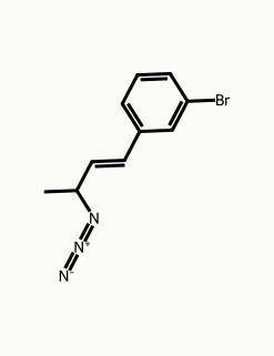 CC(/C=C/c1cccc(Br)c1)N=[N+]=[N-]